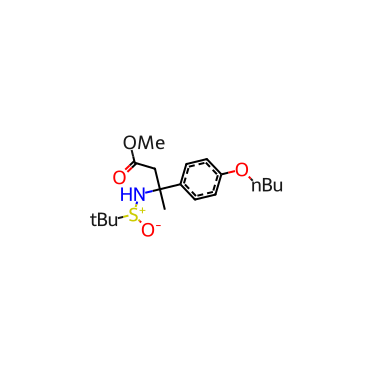 CCCCOc1ccc(C(C)(CC(=O)OC)N[S+]([O-])C(C)(C)C)cc1